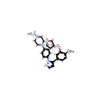 COc1ccc(-c2ccnn2-c2ccc(N3CCN(C(=O)O)CC3)cc2)cc1O[C@@H]1CCOC1